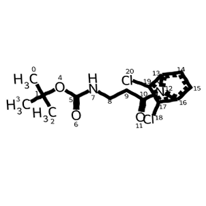 CC(C)(C)OC(=O)NCCC(=O)n1c2ccc1c(Cl)c2Cl